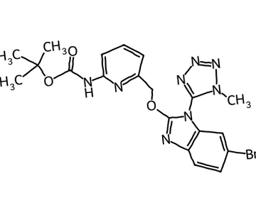 Cn1nnnc1-n1c(OCc2cccc(NC(=O)OC(C)(C)C)n2)nc2ccc(Br)cc21